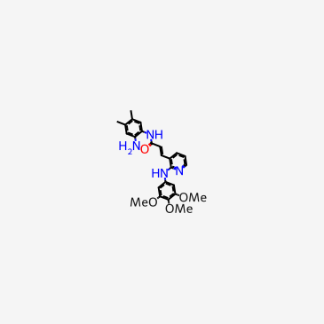 COc1cc(Nc2ncccc2/C=C/C(=O)Nc2cc(C)c(C)cc2N)cc(OC)c1OC